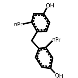 CCCc1cc(O)ccc1Cc1ccc(O)cc1CCC